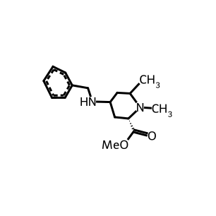 COC(=O)[C@@H]1CC(NCc2ccccc2)CC(C)N1C